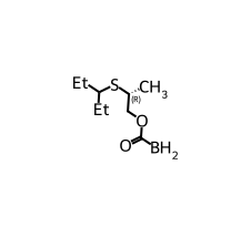 BC(=O)OC[C@@H](C)SC(CC)CC